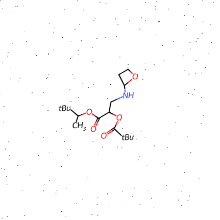 CC(OC(=O)C(CNC1CCO1)OC(=O)C(C)(C)C)C(C)(C)C